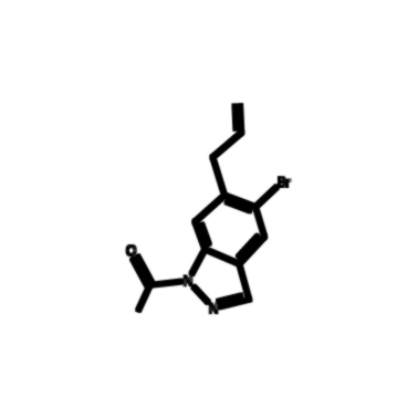 C=CCc1cc2c(cnn2C(C)=O)cc1Br